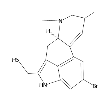 CC1C=C2c3cc(Br)cc4[nH]c(CS)c(c34)C[C@H]2N(C)C1